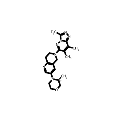 Cc1c(N2CCc3ncc(N4CCOC[C@@H]4C)cc3C2)nn2c(C(F)(F)F)nnc2c1C